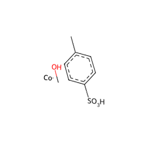 CO.Cc1ccc(S(=O)(=O)O)cc1.[Co]